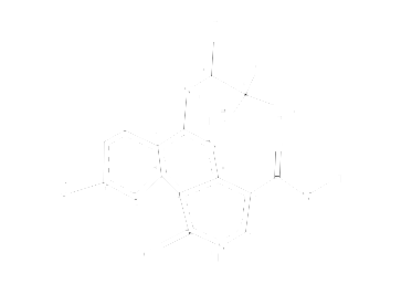 CNC(=O)c1c[nH]c(=O)c2c1nc(NC(C)C(C)(C)C)c1ccc(Br)cc12